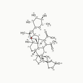 CC(=O)OC[C@]12C(OC(C)=O)CC(OC3O[C@@H](C)[C@H](O)[C@@H](O)[C@H]3O)CC1(O)CC[C@@H]1[C@@H]2C(OC(C)=O)C[C@]2(C)[C@@H](C3=CC(=O)OC3)CC[C@]12O